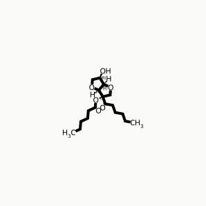 CCCCCC(=O)O[C@@]1(C(=O)CCCCC)CO[C@@H]2[C@H](O)CO[C@@H]21